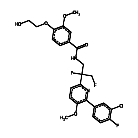 COc1cc(C(=O)NCC(F)(CF)c2ccc(OC)c(-c3ccc(F)c(Cl)c3)n2)ccc1OCCO